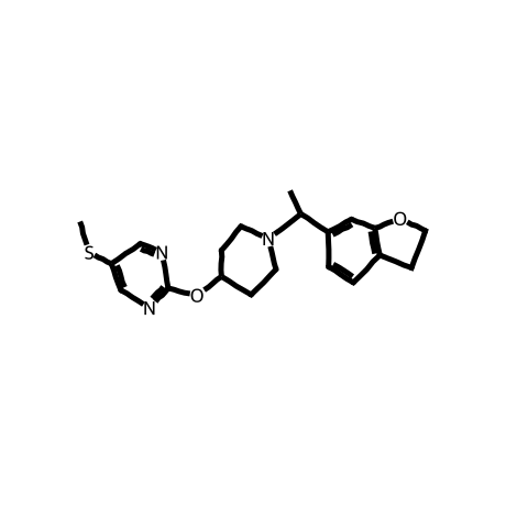 CSc1cnc(OC2CCN(C(C)c3ccc4c(c3)OCC4)CC2)nc1